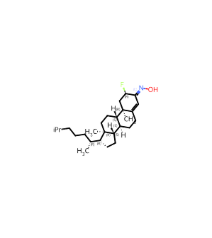 CC(C)CCC[C@@H](C)[C@H]1CC[C@H]2[C@@H]3CCC4=C/C(=N\O)[C@H](F)C[C@]4(C)[C@H]3CC[C@]12C